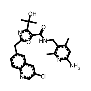 Cc1cc(N)nc(C)c1CNC(=O)c1oc(Cc2ccc3ncc(Cl)cc3c2)nc1C(C)(C)O